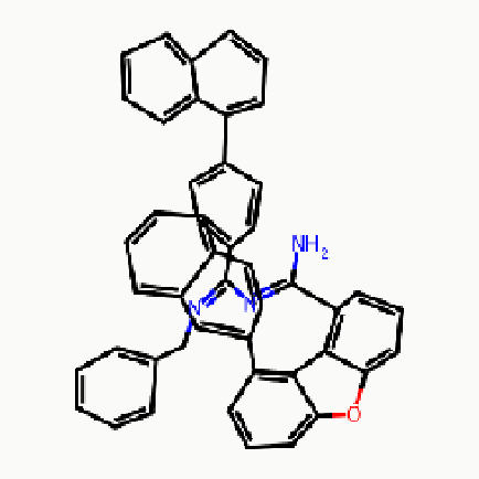 N/C(=N\C(=N/Cc1ccccc1)c1ccc(-c2cccc3ccccc23)cc1)c1cccc2oc3cccc(-c4ccc5ccccc5c4)c3c12